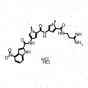 Cl.Cl.Cn1cc(NC(=O)c2cc(NC(=O)c3cc4c([N+](=O)[O-])cccc4[nH]3)cn2C)cc1C(=O)NCCC(=N)N